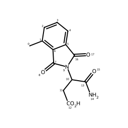 Cc1cccc2c1C(=O)N(C(CC(=O)O)C(N)=O)C2=O